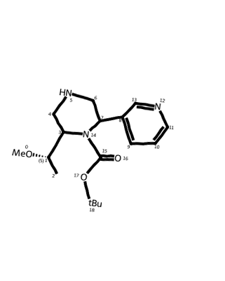 CO[C@@H](C)C1CNCC(c2cccnc2)N1C(=O)OC(C)(C)C